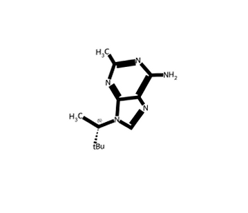 Cc1nc(N)c2ncn([C@@H](C)C(C)(C)C)c2n1